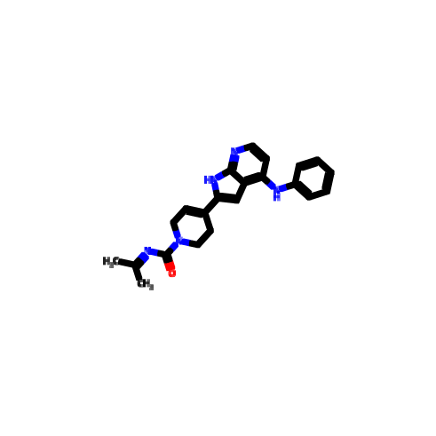 CC(C)=NC(=O)N1CC=C(c2cc3c(Nc4ccccc4)ccnc3[nH]2)CC1